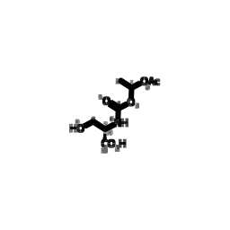 CC(=O)OC(C)OC(=O)N[C@@H](CO)C(=O)O